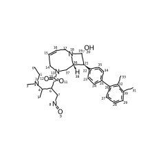 CCN(C)C(C)C(CN=O)S(=O)(=O)N1C/C=C\CN2[C@H](O)[C@@H](c3ccc(-c4cccc(C)c4C)cc3)[C@@H]2C1